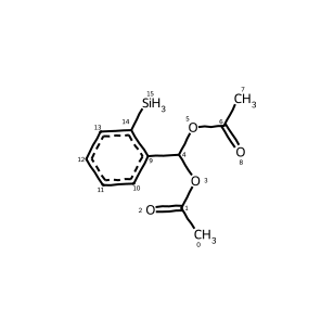 CC(=O)OC(OC(C)=O)c1ccccc1[SiH3]